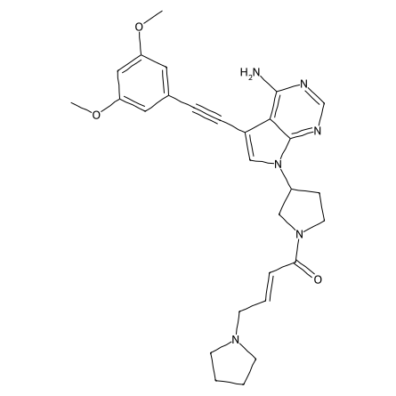 COc1cc(C#Cc2cn(C3CCN(C(=O)/C=C/CN4CCCC4)C3)c3ncnc(N)c23)cc(OC)c1